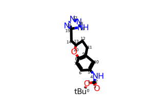 CC(C)(C)OC(=O)Nc1ccc2c(c1)CCC(Cc1nnn[nH]1)O2